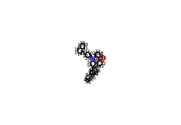 c1ccc(-c2ccc(N(c3ccc(-c4cccc5ccccc45)cc3)c3cccc4oc5ccc(-c6ccc(C78CC9CC(C7)C(C9)C8)cc6)cc5c34)cc2)cc1